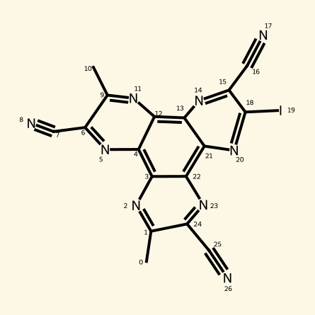 Cc1nc2c3nc(C#N)c(C)nc3c3nc(C#N)c(I)nc3c2nc1C#N